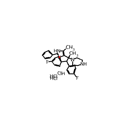 Cc1[nH]c(-c2ccccc2)nc1C(C)(C(c1ccc(F)cc1)c1ccc(F)cc1)N1CCNCC1.Cl.Cl.Cl